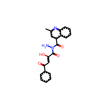 Cc1cc(C(=O)N(N)C(=O)C(O)=CC(=O)c2ccccc2)c2ccccc2n1